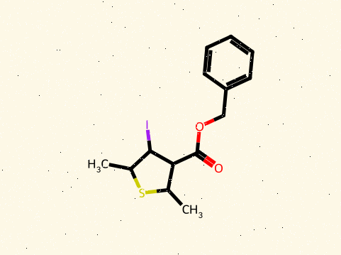 CC1SC(C)C(C(=O)OCc2ccccc2)C1I